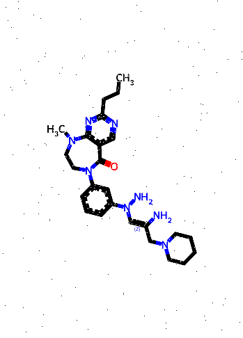 CCCc1ncc2c(n1)N(C)CCN(c1cccc(N(N)/C=C(\N)CN3CCCCC3)c1)C2=O